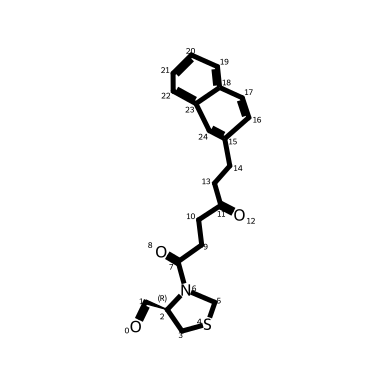 O=C[C@@H]1CSCN1C(=O)CCC(=O)CCc1ccc2ccccc2c1